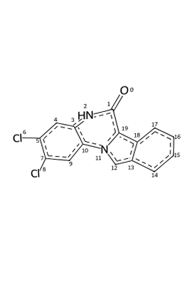 O=c1[nH]c2cc(Cl)c(Cl)cc2n2cc3ccccc3c12